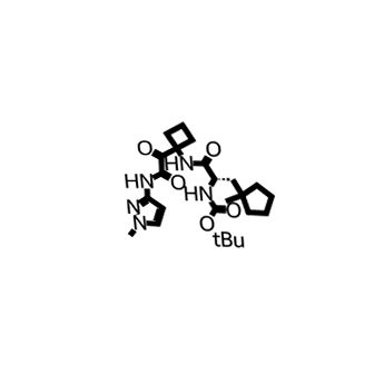 Cn1ccc(NC(=O)C(=O)C2(NC(=O)[C@H](CC3(C)CCCC3)NC(=O)OC(C)(C)C)CCC2)n1